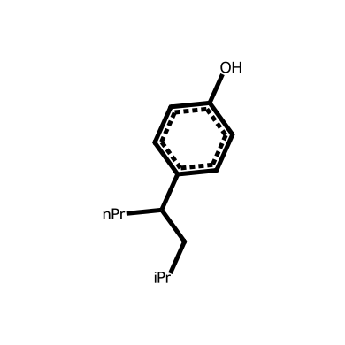 CCCC(CC(C)C)c1ccc(O)cc1